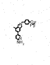 Cc1cc(-c2ccc(N)nc2)cc2c1CN(Cc1ccc(OC(F)(F)F)cc1)C2